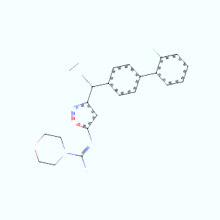 CC(c1ccc(-c2ccccc2F)cc1)c1cc(/N=C(/N)N2CCOCC2)on1.CS(=O)(=O)O